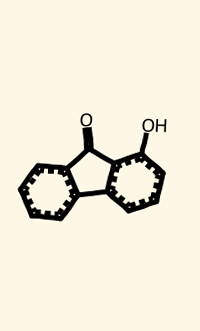 O=C1c2ccccc2-c2cccc(O)c21